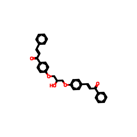 O=C(C=Cc1ccc(OCC(O)COc2ccc(C(=O)C=Cc3ccccc3)cc2)cc1)c1ccccc1